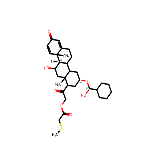 CSCC(=O)OCC(=O)C1C[C@H](O[C@H](O)C2CCCCC2)CC2C3CCC4=CC(=O)C=CC4(C)[C@H]3C(O)CC12C